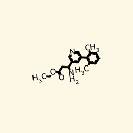 CCOC(=O)CC(N)c1cncc(-c2c(C)cccc2C)c1